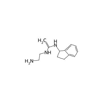 C=C(NCCN)NC1CCc2ccccc21